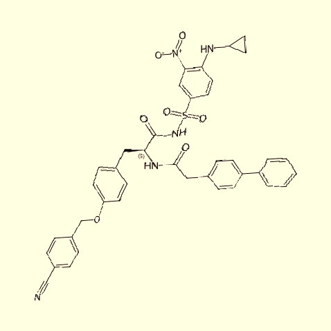 N#Cc1ccc(COc2ccc(C[C@H](NC(=O)Cc3ccc(-c4ccccc4)cc3)C(=O)NS(=O)(=O)c3ccc(NC4CC4)c([N+](=O)[O-])c3)cc2)cc1